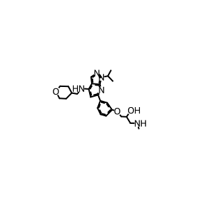 CNCC(O)COc1cccc(-c2cc(NCC3CCOCC3)c3cnn(C(C)C)c3n2)c1